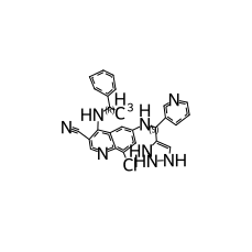 C[C@@H](Nc1c(C#N)cnc2c(Cl)cc(N[C@H](C3=CNNN3)c3cccnc3)cc12)c1ccccc1